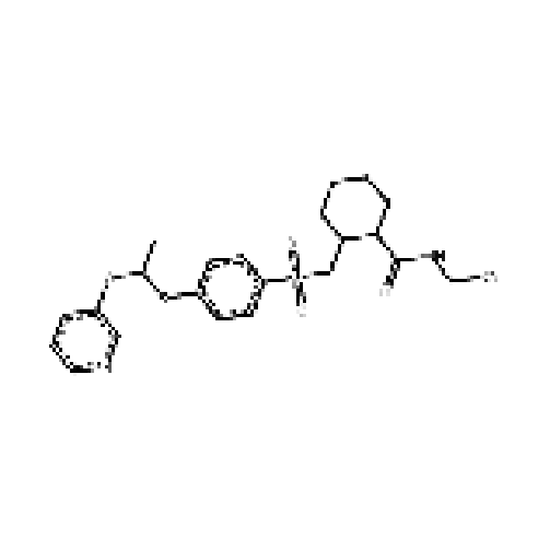 CC(Oc1cccnc1)Sc1ccc(S(=O)(=O)CC2CCCCC2C(=O)NCC#N)cc1